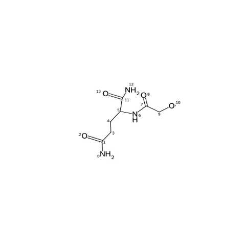 NC(=O)CCC(NC(=O)C[O])C(N)=O